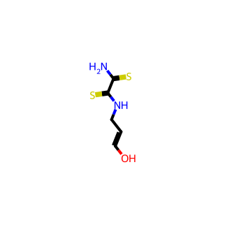 NC(=S)C(=S)NCC=CO